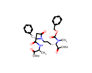 COC(=O)[C@H](C)NC(=O)[C@@]1(Cc2ccccc2)CC(=O)N1CCC[C@@H](C(=O)OC)N(C)C(=O)OCc1ccccc1